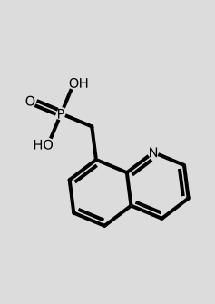 O=P(O)(O)Cc1cccc2cccnc12